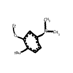 CCOc1cc(N(C)C)ccc1C(C)(C)C